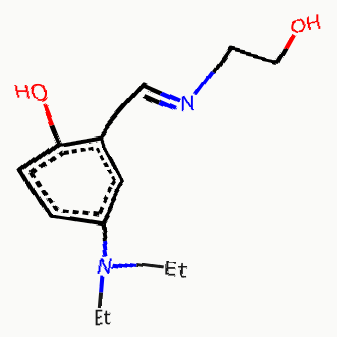 CCN(CC)c1ccc(O)c(C=NCCO)c1